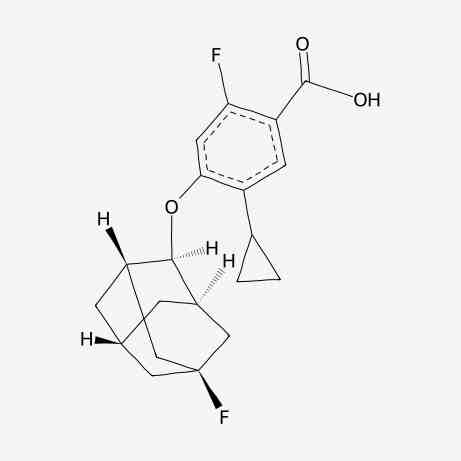 O=C(O)c1cc(C2CC2)c(O[C@H]2[C@@H]3C[C@H]4C[C@H]2C[C@@](F)(C4)C3)cc1F